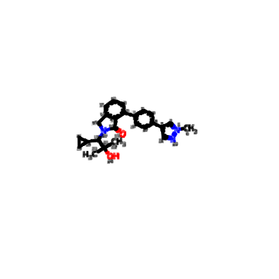 Cn1cc(-c2ccc(-c3cccc4c3C(=O)N(C(C3CC3)C(C)(C)O)C4)cc2)cn1